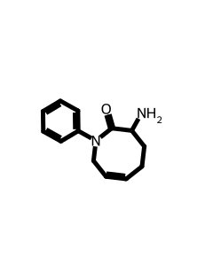 NC1CCC=CCN(c2ccccc2)C1=O